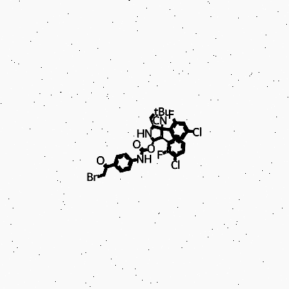 CC(C)(C)C[C@@H]1N[C@H](OC(=O)Nc2ccc(C(=O)CBr)cc2)[C@H](c2cccc(Cl)c2F)[C@@]1(C#N)c1ccc(Cl)cc1F